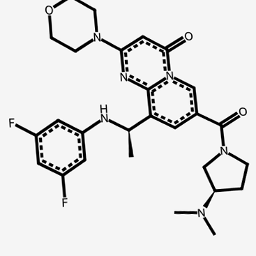 C[C@@H](Nc1cc(F)cc(F)c1)c1cc(C(=O)N2CC[C@@H](N(C)C)C2)cn2c(=O)cc(N3CCOCC3)nc12